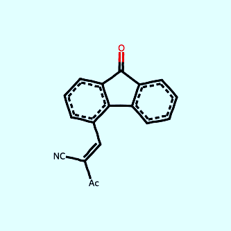 CC(=O)C(C#N)=Cc1cccc2c1-c1ccccc1C2=O